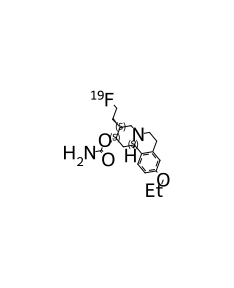 CCOc1ccc2c(c1)CCN1C[C@H](CC[19F])[C@@H](OC(N)=O)C[C@@H]21